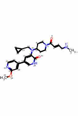 CNCC=CC(=O)N1CCC(N(CC2CC2)c2cc(-c3ccnc(OC)c3)c[nH]c2=O)CC1